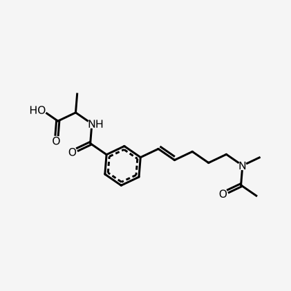 CC(=O)N(C)CCCC=Cc1cccc(C(=O)NC(C)C(=O)O)c1